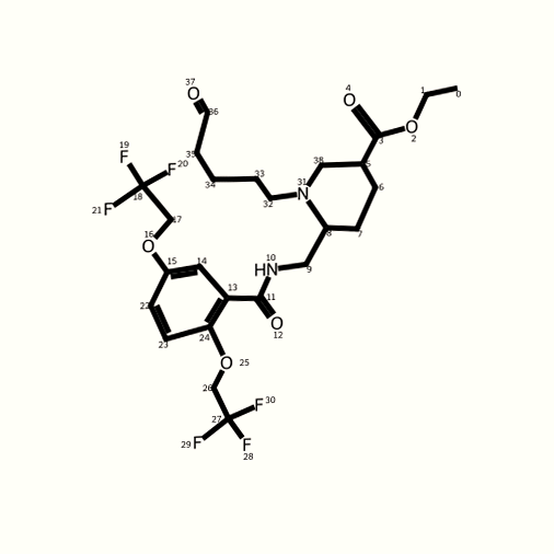 CCOC(=O)C1CCC(CNC(=O)c2cc(OCC(F)(F)F)ccc2OCC(F)(F)F)N(CCCCC=O)C1